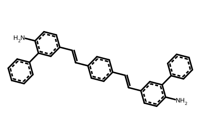 Nc1ccc(C=Cc2ccc(C=Cc3ccc(N)c(-c4ccccc4)c3)cc2)cc1-c1ccccc1